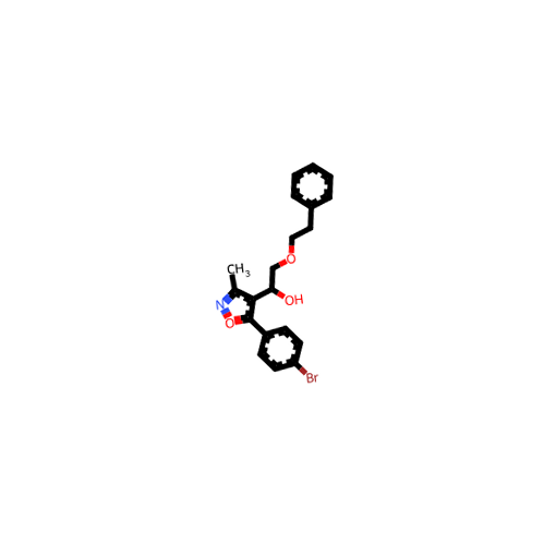 Cc1noc(-c2ccc(Br)cc2)c1C(O)COCCc1ccccc1